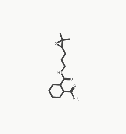 CC1(C)OC1CCCNC(=O)C1CCCCC1C(N)=O